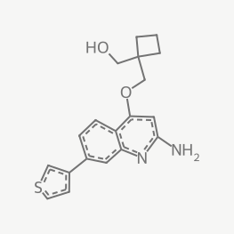 Nc1cc(OCC2(CO)CCC2)c2ccc(-c3ccsc3)cc2n1